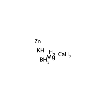 B.[CaH2].[KH].[MgH2].[Zn]